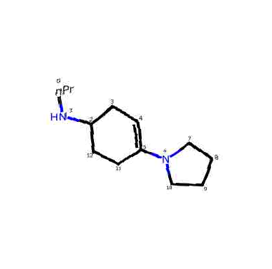 CCCNC1CC=C(N2CCCC2)CC1